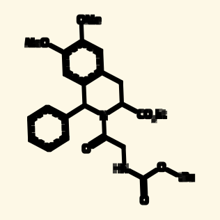 CCOC(=O)C1Cc2cc(OC)c(OC)cc2C(c2ccccc2)N1C(=O)CNC(=O)OC(C)(C)C